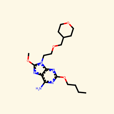 CCCCOc1nc(N)c2nc(OC)n(CCOCC3CCOCC3)c2n1